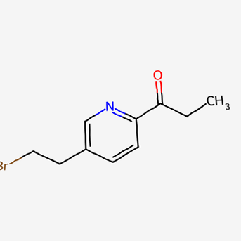 CCC(=O)c1ccc(CCBr)cn1